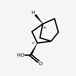 O=C(O)[C@H]1C[C@@H]2CCC1C2